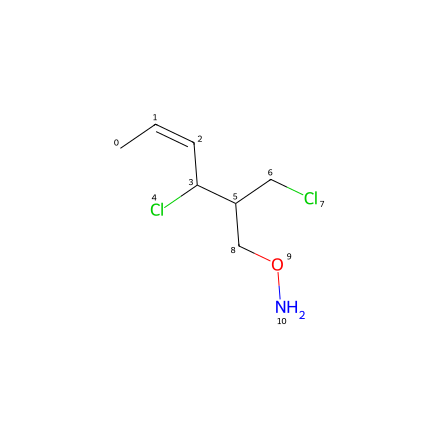 C/C=C\C(Cl)C(CCl)CON